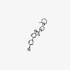 CC1CCCCN1[C@H]1CCN(c2nc3ccc(-c4ccc(C#N)cc4)cc3s2)C1